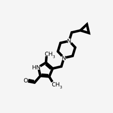 Cc1[nH]c(C=O)c(C)c1CN1CCN(CC2CC2)CC1